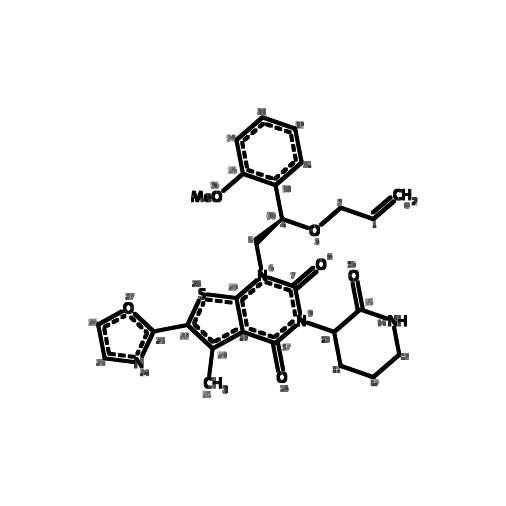 C=CCO[C@@H](Cn1c(=O)n(C2CCCNC2=O)c(=O)c2c(C)c(-c3ncco3)sc21)c1ccccc1OC